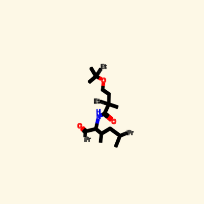 CCC(C)(C)OCCC(C)(CC)C(=O)NC(C(=O)C(C)C)C(C)CC(C)C(C)C